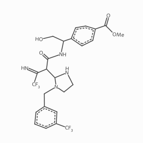 COC(=O)c1ccc(C(CO)NC(=O)C(C(=N)C(F)(F)F)C2NCCN2Cc2cccc(C(F)(F)F)c2)cc1